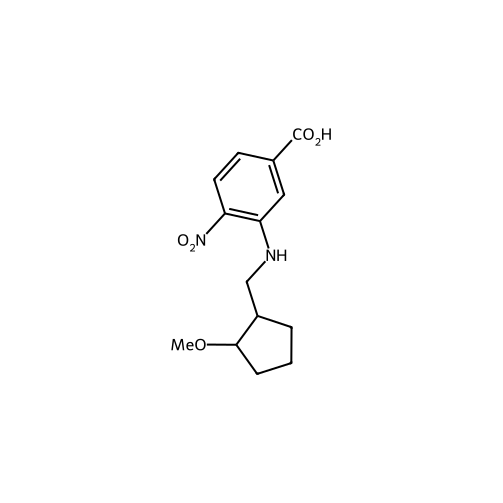 COC1CCCC1CNc1cc(C(=O)O)ccc1[N+](=O)[O-]